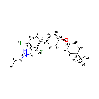 CCCNCc1c(F)ccc(-c2ccc(O[C@H]3CC[C@H](C(C)(C)C)CC3)cc2)c1F